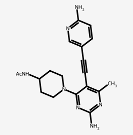 CC(=O)NC1CCN(c2nc(N)nc(C)c2C#Cc2ccc(N)nc2)CC1